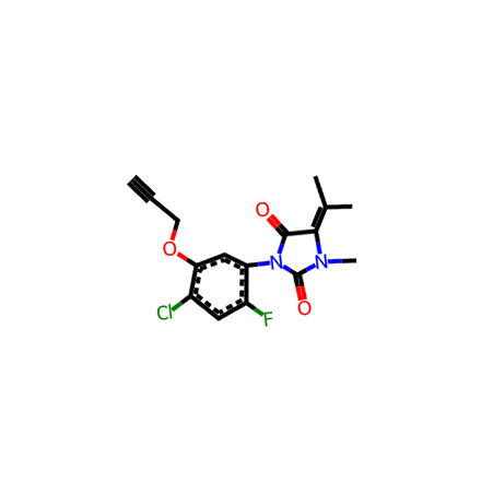 C#CCOc1cc(N2C(=O)C(=C(C)C)N(C)C2=O)c(F)cc1Cl